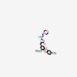 COc1cc(C=C2SC(NCCN3CCOCC3)=NC2=O)ccc1Oc1ccc(C#N)cc1C(F)(F)F